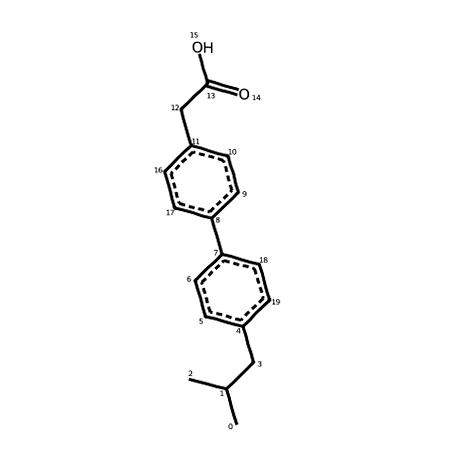 CC(C)Cc1ccc(-c2ccc(CC(=O)O)cc2)cc1